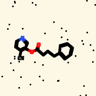 N#Cc1ccncc1OC(=O)CCCc1ccccc1